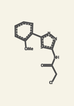 COc1ccccc1-c1nnc(NC(=O)CCl)s1